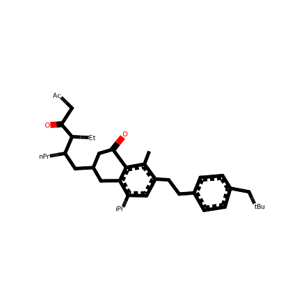 CCCC(CC1CC(=O)c2c(C)c(CCc3ccc(CC(C)(C)C)cc3)cc(C(C)C)c2C1)C(CC)C(=O)CC(C)=O